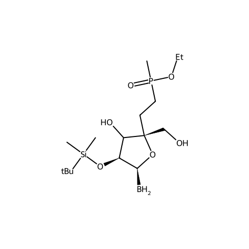 B[C@@H]1O[C@@](CO)(CCP(C)(=O)OCC)C(O)[C@@H]1O[Si](C)(C)C(C)(C)C